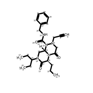 C#CCN1CC(=O)N2[C@@H](CCC)C(=O)N(C(CC)CC)C[C@@H]2N1C(=O)NCc1ccccc1